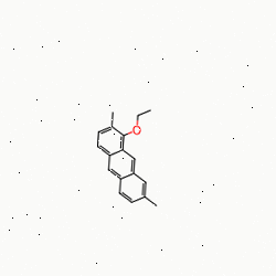 CCOc1c(C)ccc2cc3ccc(C)cc3cc12